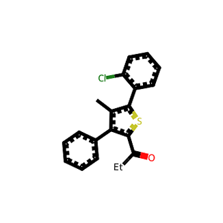 CCC(=O)c1sc(-c2ccccc2Cl)c(C)c1-c1ccccc1